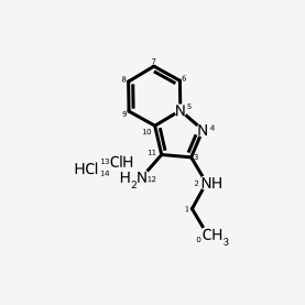 CCNc1nn2ccccc2c1N.Cl.Cl